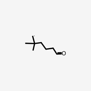 [CH2]C(C)(C)CCCC=O